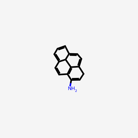 NC1=CCC2=CC=C3C=CC=C4C=CC1=C2C43